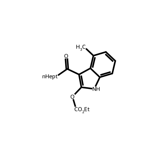 CCCCCCCC(=O)c1c(OC(=O)OCC)[nH]c2cccc(C)c12